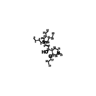 CCC[CH2][Sn]([CH]=CC(O)C1CCN(C)CC1OCCC)([CH2]CCC)[CH2]CCC